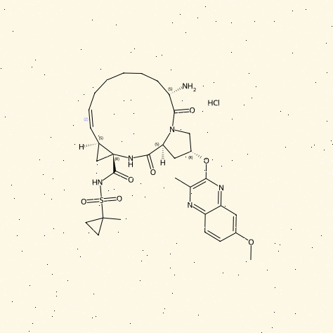 COc1ccc2nc(C)c(O[C@@H]3C[C@H]4C(=O)N[C@]5(C(=O)NS(=O)(=O)C6(C)CC6)C[C@H]5/C=C\CCCCC[C@H](N)C(=O)N4C3)nc2c1.Cl